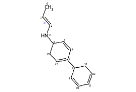 C/C=C/NC1C=CC(C2C=CC=CC2)=CC1